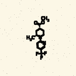 COC(=O)[C@@H]1CCN(c2ccc(C(F)(F)F)cn2)[C@H](C)C1